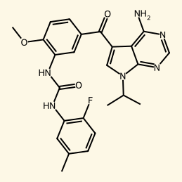 COc1ccc(C(=O)c2cn(C(C)C)c3ncnc(N)c23)cc1NC(=O)Nc1cc(C)ccc1F